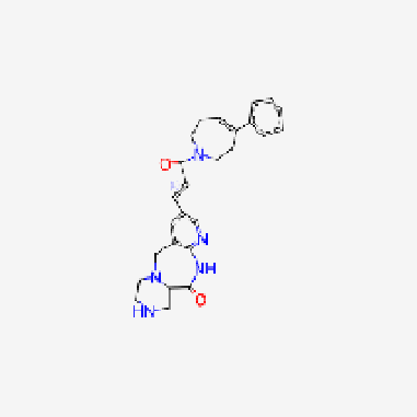 O=C1Nc2ncc(/C=C/C(=O)N3CCC=C(c4ccccc4)CC3)cc2CN2CCNCC12